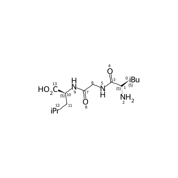 CC[C@H](C)[C@H](N)C(=O)NCC(=O)N[C@@H](CC(C)C)C(=O)O